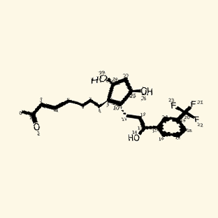 CC(=O)CCCCCC[C@@H]1[C@@H](CCC(O)c2cccc(C(F)(F)F)c2)[C@H](O)C[C@@H]1O